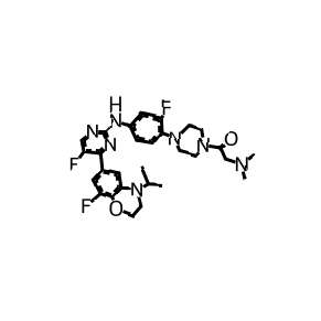 CC(C)N1CCOc2c(F)cc(-c3nc(Nc4ccc(N5CCN(C(=O)CN(C)C)CC5)c(F)c4)ncc3F)cc21